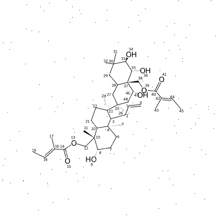 C=CCC1[C@@]2(C)CC[C@H](O)[C@](C)(COC(=O)/C(C)=C/C)C2CC[C@@]1(C)[C@@]1(C)CC2CC(C)(C)[C@@H](O)[C@H](O)[C@]2(COC(=O)/C(C)=C/C)[C@H](O)C1